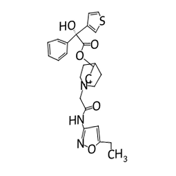 CCc1cc(NC(=O)C[N+]23CCC(CC2)C(OC(=O)[C@@](O)(c2ccccc2)c2ccsc2)C3)no1